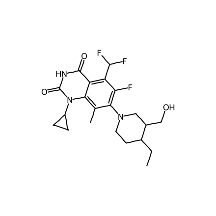 CCC1CCN(c2c(F)c(C(F)F)c3c(=O)[nH]c(=O)n(C4CC4)c3c2C)CC1CO